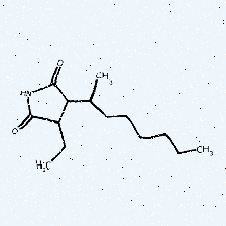 CCCCCCC(C)C1C(=O)NC(=O)C1CC